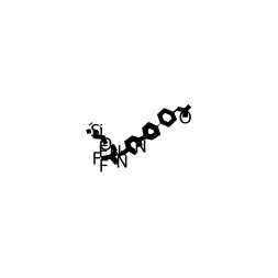 CC(=O)C[C@H]1CC[C@H](c2ccc(-c3ccc(-c4ncc(C(F)(F)F)n4COCC[Si](C)(C)C)cn3)cc2)CC1